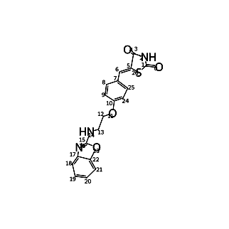 O=C1NC(=O)C(=Cc2ccc(OCCNc3nc4ccccc4o3)cc2)S1